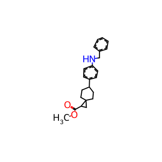 COC(=O)C1CC12CCC(c1ccc(NCc3ccccc3)cc1)CC2